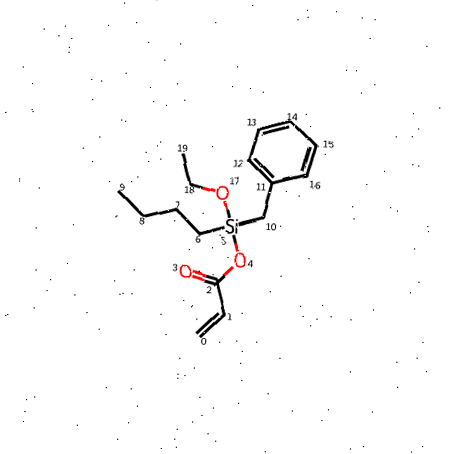 C=CC(=O)O[Si](CCCC)(Cc1ccccc1)OCC